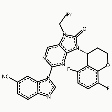 CC(C)Cn1c(=O)n([C@@H]2CCOc3c(F)ccc(F)c32)c2nc(-n3cnc4ccc(C#N)cc43)ncc21